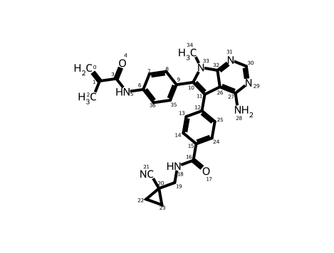 C=C(C)C(=O)Nc1ccc(-c2c(-c3ccc(C(=O)NCC4(C#N)CC4)cc3)c3c(N)ncnc3n2C)cc1